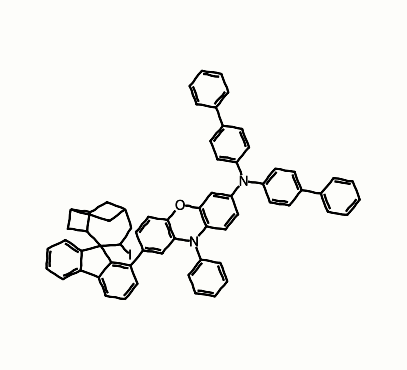 IC1CC2CC3CC(C3C2)C12c1ccccc1-c1cccc(-c3ccc4c(c3)N(c3ccccc3)c3ccc(N(c5ccc(-c6ccccc6)cc5)c5ccc(-c6ccccc6)cc5)cc3O4)c12